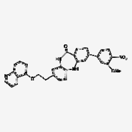 COc1cc(-c2ccc3c(c2)Nc2ccc(CCOc4cccc5ncccc45)cc2NC3=O)ccc1[N+](=O)[O-]